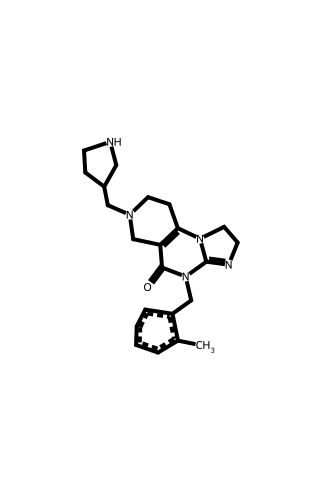 Cc1ccccc1CN1C(=O)C2=C(CCN(CC3CCNC3)C2)N2CCN=C12